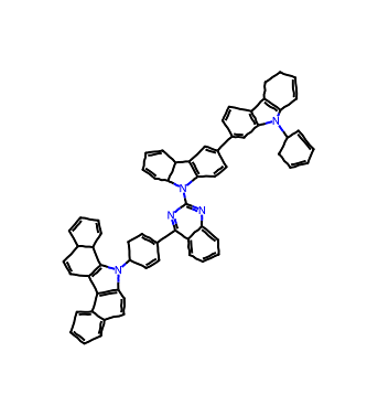 C1=CCC(n2c3c(c4ccc(-c5ccc6c(c5)C5C=CC=CC5N6c5nc(C6=CCC(n7c8c(c9c%10ccccc%10ccc97)C=CC7C=CC=CC87)C=C6)c6ccccc6n5)cc42)CCC=C3)C=C1